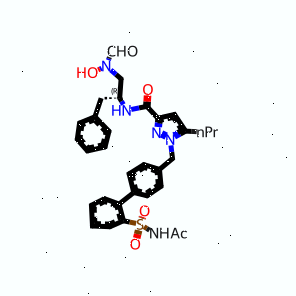 CCCc1cc(C(=O)N[C@H](Cc2ccccc2)CN(O)C=O)nn1Cc1ccc(-c2ccccc2S(=O)(=O)NC(C)=O)cc1